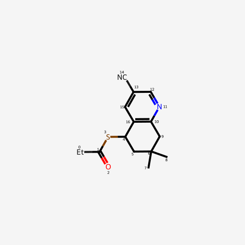 CCC(=O)SC1CC(C)(C)Cc2ncc(C#N)cc21